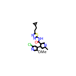 COc1cnc(Cl)cc1-c1cc(C)ncc1C(=O)Nc1nnc(CCC2CC2)s1